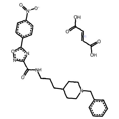 O=C(NCCCC1CCN(Cc2ccccc2)CC1)c1noc(-c2ccc([N+](=O)[O-])cc2)n1.O=C(O)/C=C/C(=O)O